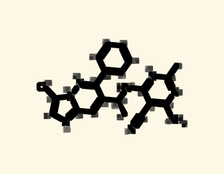 Cc1nc(N)c(C#N)c(N[C@@H](C)c2cc3ncc(Cl)n3nc2-c2ccccc2)n1